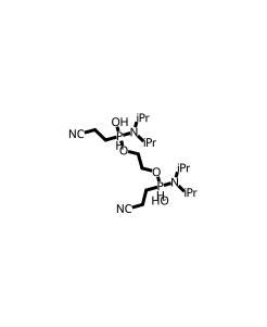 CC(C)N(C(C)C)[PH](O)(CCC#N)OCCO[PH](O)(CCC#N)N(C(C)C)C(C)C